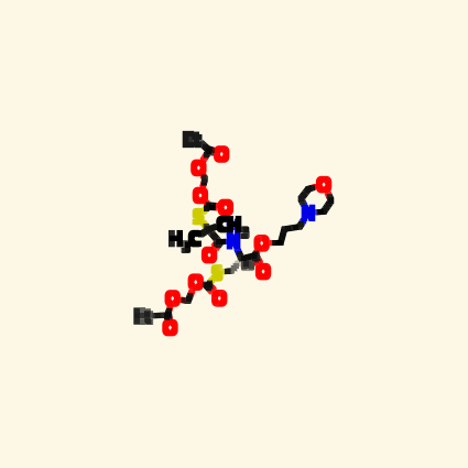 CCC(=O)OCOC(=O)SC[C@H](NC(=O)C(C)(C)SC(=O)OCOC(=O)CC)C(=O)OCCCN1CCOCC1